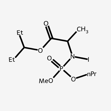 CCCOP(=O)(OC)N(I)C(C)C(=O)OC(CC)CC